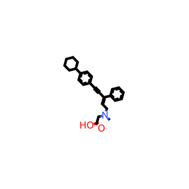 CN(CC=C(C#Cc1ccc(C2CCCCC2)cc1)c1ccccc1)CC(=O)O